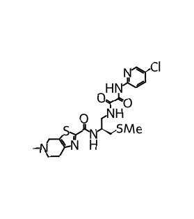 CSC[C@H](CNC(=O)C(=O)Nc1ccc(Cl)cn1)NC(=O)c1nc2c(s1)CN(C)CC2